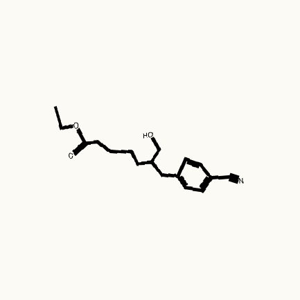 CCOC(=O)CCCCC(CO)Cc1ccc(C#N)cc1